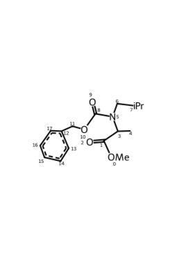 COC(=O)C(C)N(CC(C)C)C(=O)OCc1ccccc1